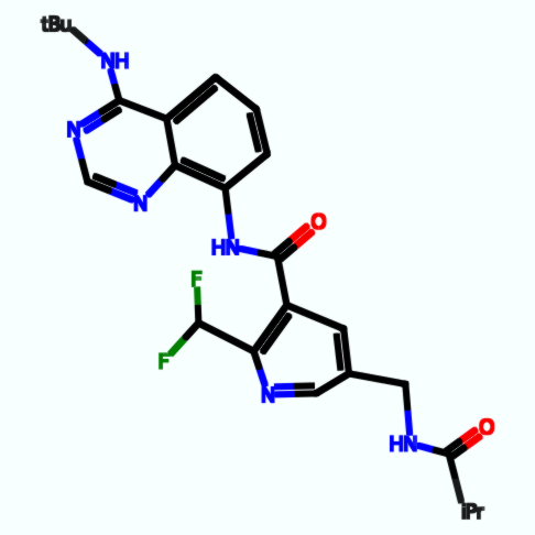 CC(C)C(=O)NCc1cnc(C(F)F)c(C(=O)Nc2cccc3c(NC(C)(C)C)ncnc23)c1